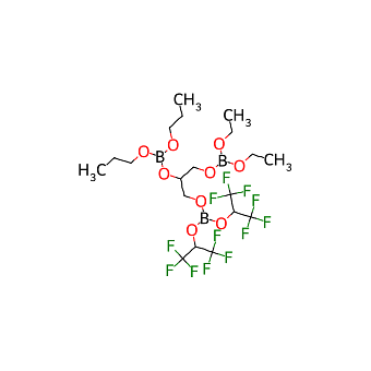 CCCOB(OCCC)OC(COB(OCC)OCC)COB(OC(C(F)(F)F)C(F)(F)F)OC(C(F)(F)F)C(F)(F)F